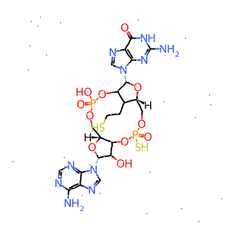 Nc1nc2c(ncn2[C@@H]2O[C@@H]3COP(=O)(S)OC4C(O)[C@H](n5cnc6c(N)ncnc65)O[C@@H]4COP(=O)(O)OC2C3CCS)c(=O)[nH]1